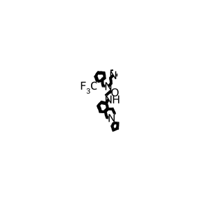 CN(C)CCN(Cc1ccccc1C(F)(F)F)C(=O)CNc1cccc2c1CCN(C1CCCC1)C2